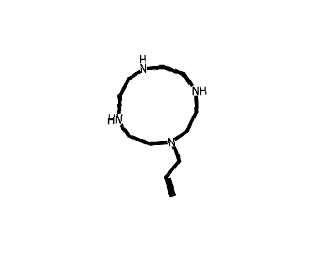 C=CCN1CCNCCNCCNCC1